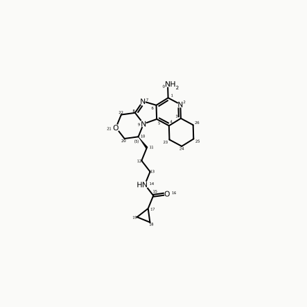 Nc1nc2c(c3c1nc1n3[C@@H](CCCNC(=O)C3CC3)COC1)CCCC2